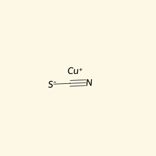 N#C[S-].[Cu+]